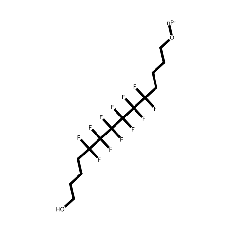 CCCOCCCCC(F)(F)C(F)(F)C(F)(F)C(F)(F)C(F)(F)C(F)(F)CCCCO